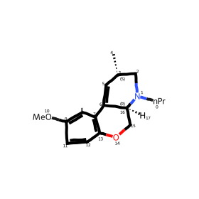 CCCN1C[C@@H](C)C=C2c3cc(OC)ccc3OC[C@@H]21